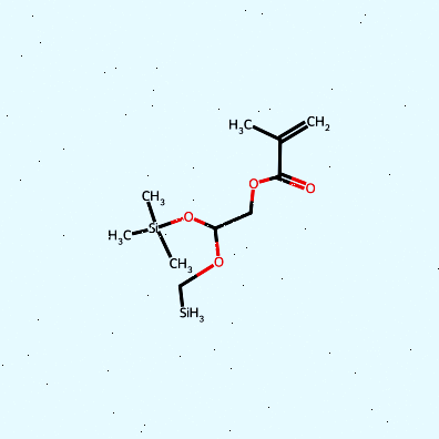 C=C(C)C(=O)OCC(OC[SiH3])O[Si](C)(C)C